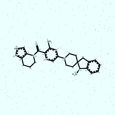 Nc1nc(N2CCC3(CC2)Cc2ccccc2[C@H]3N)cnc1C(=O)N1CCCc2n[nH]cc21